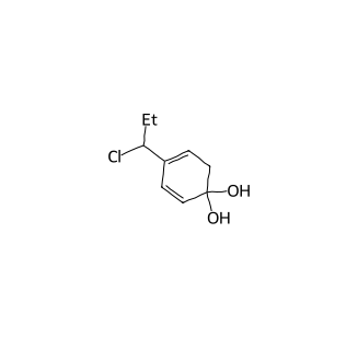 CCC(Cl)C1=CCC(O)(O)C=C1